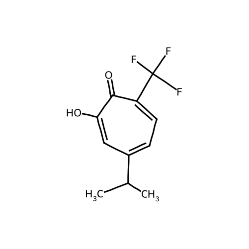 CC(C)c1ccc(C(F)(F)F)c(=O)c(O)c1